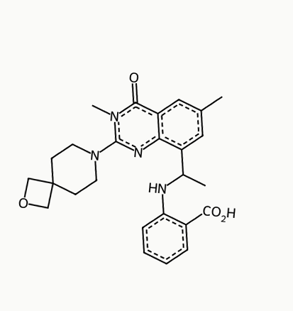 Cc1cc(C(C)Nc2ccccc2C(=O)O)c2nc(N3CCC4(CC3)COC4)n(C)c(=O)c2c1